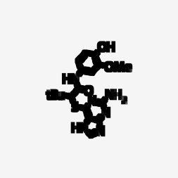 COc1cc(NC(=O)C(Sc2nc(N)nc3nc[nH]c23)C(C)(C)C)ccc1O